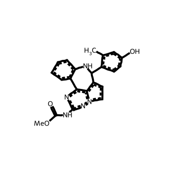 COC(=O)Nc1nc2c3c(ccn3n1)C(c1ccc(O)cc1C)Nc1ccccc1-2